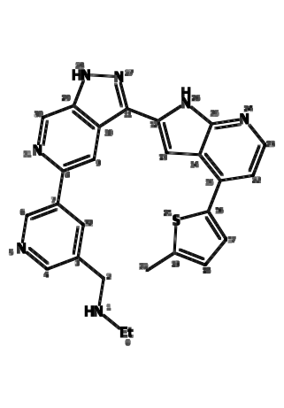 CCNCc1cncc(-c2cc3c(-c4cc5c(-c6ccc(C)s6)ccnc5[nH]4)n[nH]c3cn2)c1